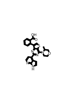 CC1COCCN1c1nc(-c2ccnc3[nH]ccc23)nc2c(-c3ccccc3C(=O)O)csc12